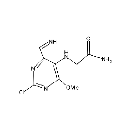 COc1nc(Cl)nc(C=N)c1NCC(N)=O